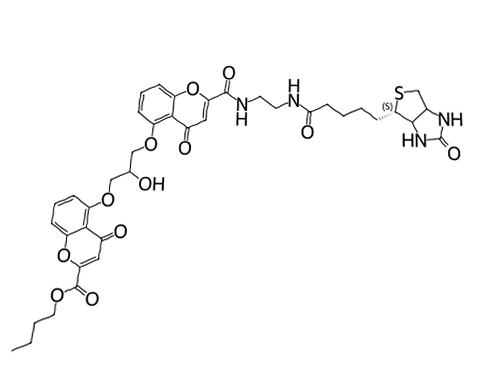 CCCCOC(=O)c1cc(=O)c2c(OCC(O)COc3cccc4oc(C(=O)NCCNC(=O)CCCC[C@@H]5SCC6NC(=O)NC65)cc(=O)c34)cccc2o1